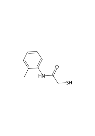 Cc1ccccc1NC(=O)CS